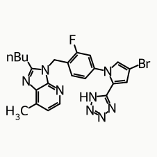 CCCCc1nc2c(C)ccnc2n1Cc1ccc(-n2cc(Br)cc2-c2nnn[nH]2)cc1F